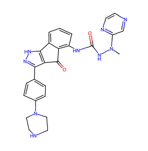 CN(NC(=O)Nc1cccc2c1C(=O)c1c(-c3ccc(N4CCNCC4)cc3)n[nH]c1-2)c1cnccn1